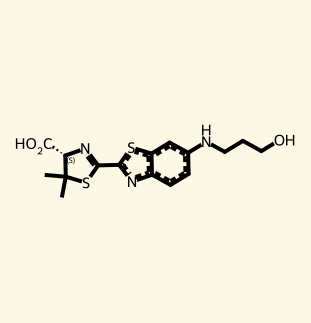 CC1(C)SC(c2nc3ccc(NCCCO)cc3s2)=N[C@H]1C(=O)O